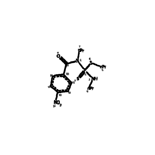 CCCNP(=S)(SCCC)N(CCC)C(=O)c1ccc([N+](=O)[O-])cc1